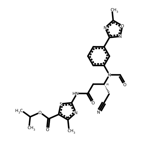 Cc1nc(-c2cccc(N(C=O)[C@H](CC#N)CC(=O)Nc3nc(C)c(C(=O)OC(C)C)s3)c2)no1